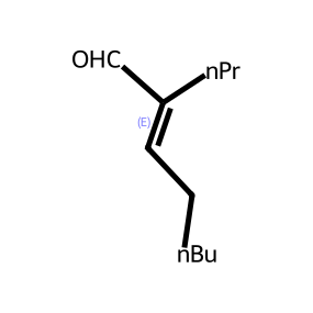 CCCCC/C=C(/C=O)CCC